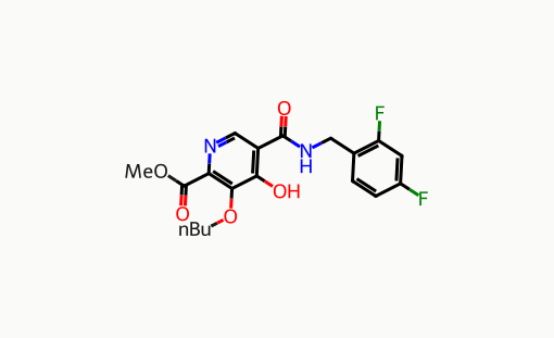 CCCCOc1c(C(=O)OC)ncc(C(=O)NCc2ccc(F)cc2F)c1O